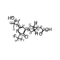 CC(F)(F)c1nc(N2C[C@@H](O)C2(C)C)cc(N2C[C@@H]3[C@@H](CC(=O)O)[C@@H]3C2)c1Cl